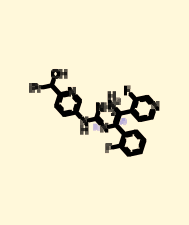 CC(C)C(O)c1ccc(N/C(N)=N/C(=C(\N)c2ccncc2F)c2ccccc2F)cn1